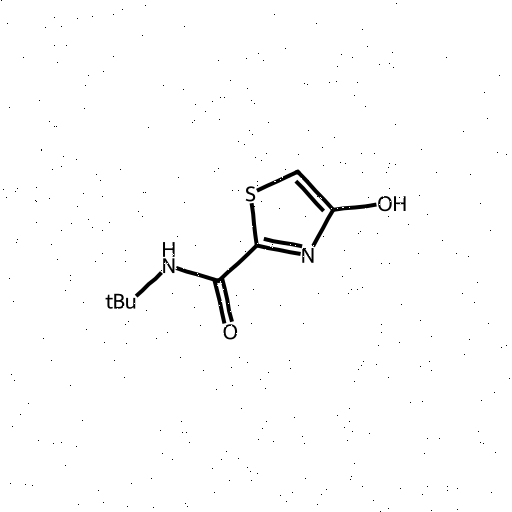 CC(C)(C)NC(=O)c1nc(O)cs1